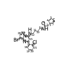 O=C(Cc1ccsc1)NCCCCNc1cc(-c2ccccc2Cl)nc2c(Br)cnn12